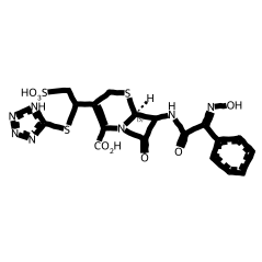 O=C(O)C1=C(C(CS(=O)(=O)O)Sc2nnn[nH]2)CS[C@H]2C(NC(=O)C(=NO)c3ccccc3)C(=O)N12